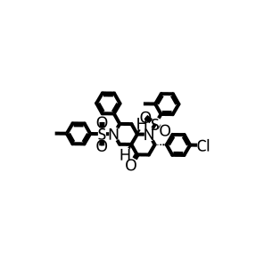 Cc1ccc(S(=O)(=O)N2C[C@H]3C(=O)C[C@@H](c4ccc(Cl)cc4)N(S(=O)(=O)c4ccccc4C)[C@H]3CC2c2ccccc2)cc1